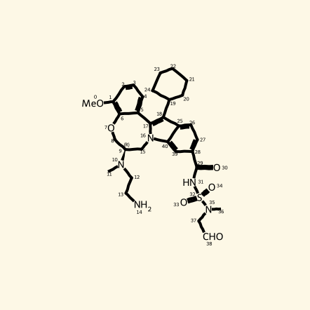 COc1cccc2c1OC[C@H](N(C)CCN)Cn1c-2c(C2CCCCC2)c2ccc(C(=O)NS(=O)(=O)N(C)CC=O)cc21